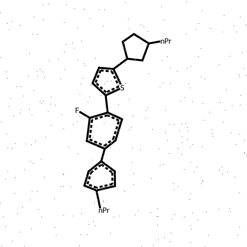 CCCc1ccc(-c2ccc(-c3ccc(C4CCC(CCC)C4)s3)c(F)c2)cc1